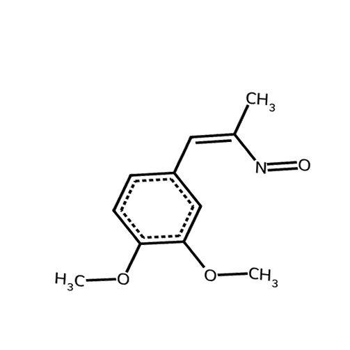 COc1ccc(C=C(C)N=O)cc1OC